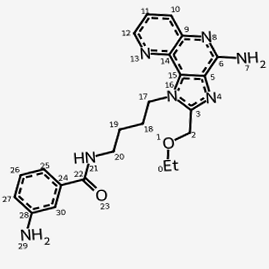 CCOCc1nc2c(N)nc3cccnc3c2n1CCCCNC(=O)c1cccc(N)c1